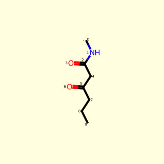 [CH2]NC(=O)CC(=O)CCC